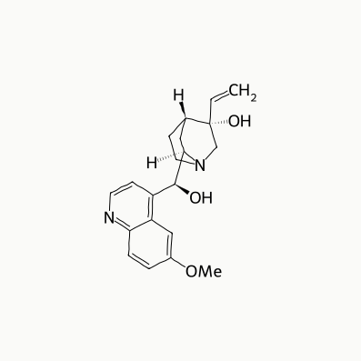 C=C[C@@]1(O)CN2CC[C@H]1C[C@@H]2[C@@H](O)c1ccnc2ccc(OC)cc12